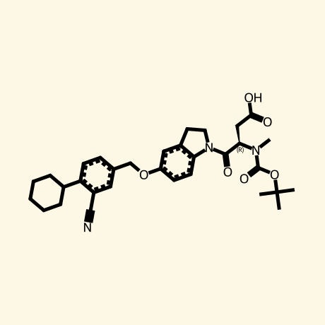 CN(C(=O)OC(C)(C)C)[C@H](CC(=O)O)C(=O)N1CCc2cc(OCc3ccc(C4CCCCC4)c(C#N)c3)ccc21